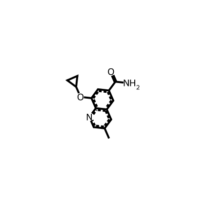 Cc1cnc2c(OC3CC3)cc(C(N)=O)cc2c1